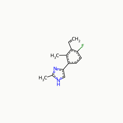 C=Cc1c(F)ccc(-c2c[nH]c(C)n2)c1C